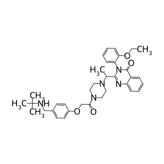 CCOc1ccccc1-n1c(C(C)N2CCN(C(=O)COc3ccc(CNC(C)(C)C)cc3)CC2)nc2ccccc2c1=O